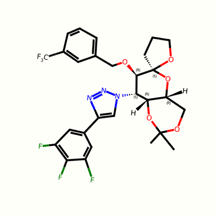 CC1(C)OC[C@H]2O[C@@]3(CCCO3)[C@H](OCc3cccc(C(F)(F)F)c3)[C@@H](n3cc(-c4cc(F)c(F)c(F)c4)nn3)[C@H]2O1